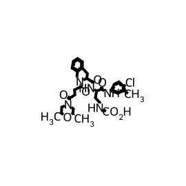 Cc1cc(NC(=O)C(CCNC(=O)O)NC(=O)C2Cc3ccccc3CN2C(=O)CCC(=O)N2C[C@@H](C)O[C@@H](C)C2)ccc1Cl